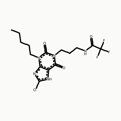 CCCCCn1c(=O)n(CCCNC(=O)C(F)(F)F)c(=O)c2[nH]c(Cl)nc21